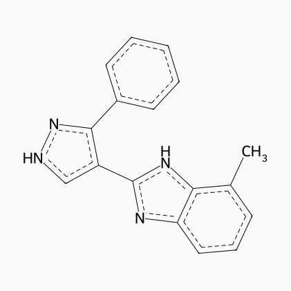 Cc1cccc2nc(-c3c[nH]nc3-c3ccccc3)[nH]c12